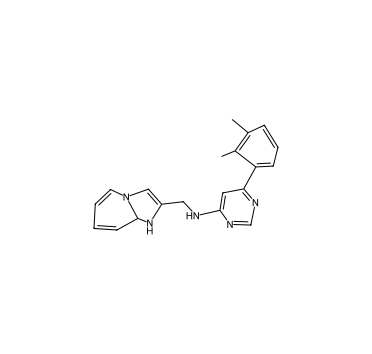 Cc1cccc(-c2cc(NCC3=CN4C=CC=CC4N3)ncn2)c1C